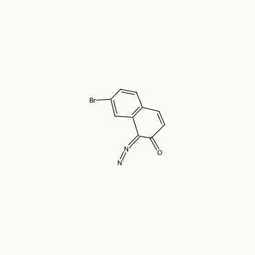 [N-]=[N+]=C1C(=O)C=Cc2ccc(Br)cc21